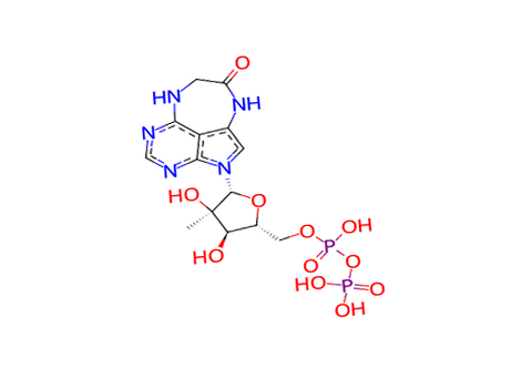 C[C@@]1(O)[C@H](O)[C@@H](COP(=O)(O)OP(=O)(O)O)O[C@H]1n1cc2c3c(ncnc31)NCC(=O)N2